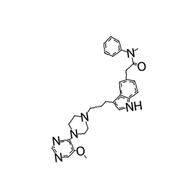 COc1cncnc1N1CCN(CCCc2c[nH]c3ccc(CC(=O)N(C)c4ccccc4)cc23)CC1